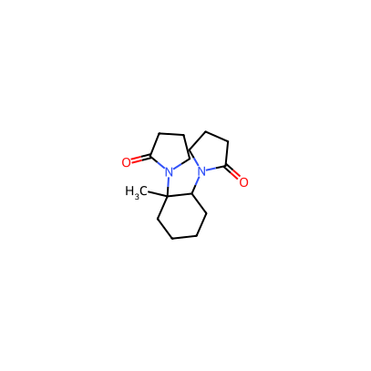 CC1(N2CCCC2=O)CCCCC1N1CCCC1=O